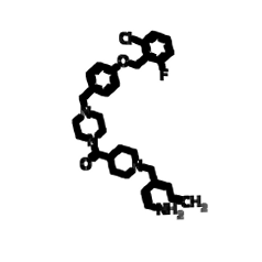 C=C/C=C(\C=C/N)CN1CCC(C(=O)N2CCN(Cc3ccc(OCc4c(F)cccc4Cl)cc3)CC2)CC1